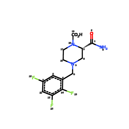 NC(=O)[C@@H]1CN(Cc2cc(F)cc(F)c2F)CCN1C(=O)O